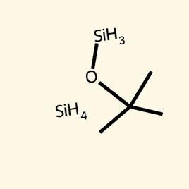 CC(C)(C)O[SiH3].[SiH4]